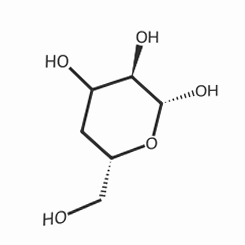 OC[C@@H]1CC(O)[C@@H](O)[C@H](O)O1